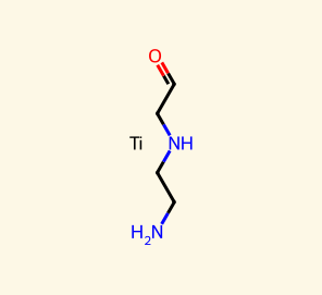 NCCNCC=O.[Ti]